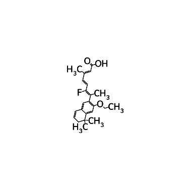 CCOc1cc2c(cc1C(C)=C(F)C=CC(C)=CC(=O)O)C=CCC2(C)C